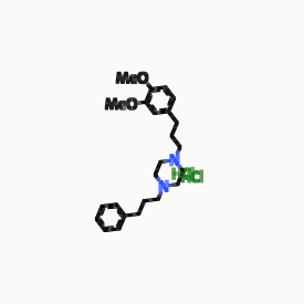 COc1ccc(CCCN2CCN(CCCc3ccccc3)CC2)cc1OC.Cl.Cl